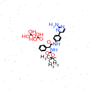 CC(C)(C)OC(=O)N[C@@H](C(=O)Nc1ccc(-c2ccnc(N)n2)cc1)c1ccccc1.O=C(O)O.O=C(O)O